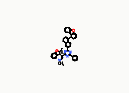 C=N/C=C(/c1nc(-c2ccccc2)nc(-c2ccc3c(-c4cccc5oc6ccccc6c45)cccc3c2)n1)c1c(C)oc2ccccc12